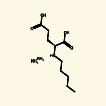 CCCCCN[C@@H](CCC(=O)O)C(=O)O.N.N